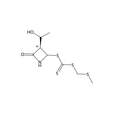 CSCSC(=S)SC1NC(=O)[C@H]1C(C)O